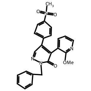 COc1ncccc1-c1c(-c2ccc(S(C)(=O)=O)cc2)cnn(Cc2ccccc2)c1=O